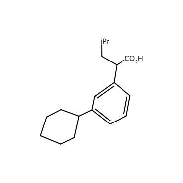 CC(C)CC(C(=O)O)c1cccc(C2CCCCC2)c1